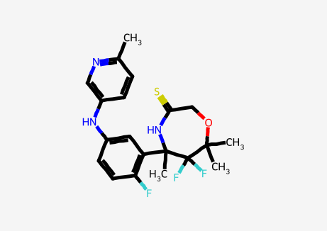 Cc1ccc(Nc2ccc(F)c(C3(C)NC(=S)COC(C)(C)C3(F)F)c2)cn1